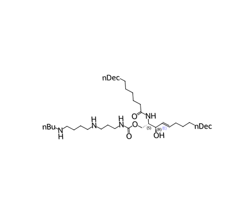 CCCCCCCCCCCCC/C=C/[C@@H](O)[C@H](COC(=O)NCCCNCCCCNCCCC)NC(=O)CCCCCCCCCCCCCCC